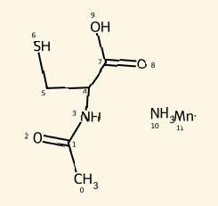 CC(=O)NC(CS)C(=O)O.N.[Mn]